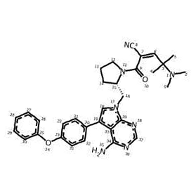 CN(C)C(C)(C)/C=C(/C#N)C(=O)N1CCC[C@H]1Cn1cc(-c2ccc(Oc3ccccc3)cc2)c2c(N)ncnc21